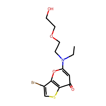 CCN(CCOCCO)c1cc(=O)c2scc(Br)c2o1